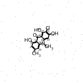 Cc1cc(O)c2c(=O)c3c(O)c(Cl)c(O)cc3n(C)c2c1